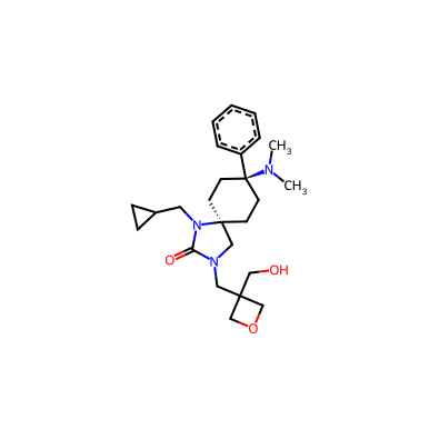 CN(C)[C@]1(c2ccccc2)CC[C@]2(CC1)CN(CC1(CO)COC1)C(=O)N2CC1CC1